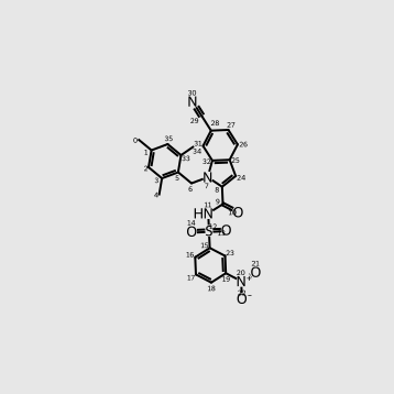 Cc1cc(C)c(Cn2c(C(=O)NS(=O)(=O)c3cccc([N+](=O)[O-])c3)cc3ccc(C#N)cc32)c(C)c1